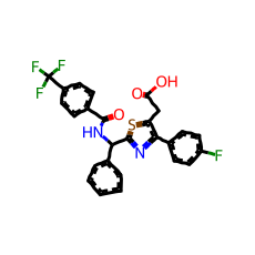 O=C(O)Cc1sc(C(NC(=O)c2ccc(C(F)(F)F)cc2)c2ccccc2)nc1-c1ccc(F)cc1